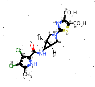 Cc1[nH]c(C(=O)NC2[C@H]3CN(c4nc(C(=O)O)c(C(=O)O)s4)C[C@@H]23)c(Cl)c1Cl